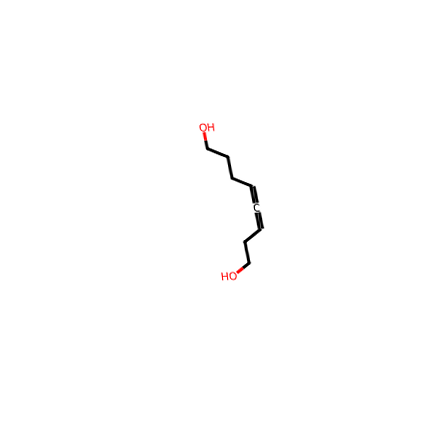 OCCC=C=CCCCO